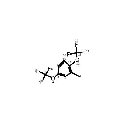 Cc1cc(OC(F)(F)F)ccc1OC(F)(F)F